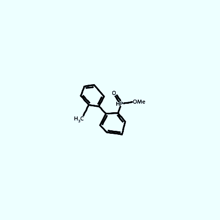 CO[PH](=O)c1ccccc1-c1ccccc1C